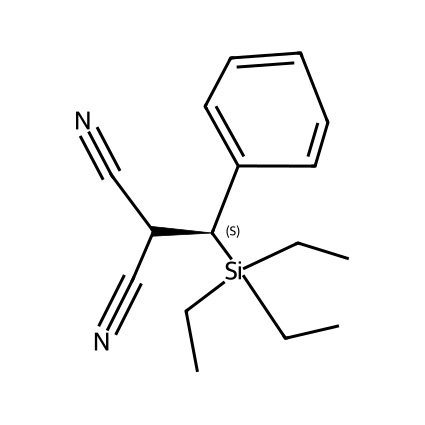 CC[Si](CC)(CC)[C@H](c1ccccc1)C(C#N)C#N